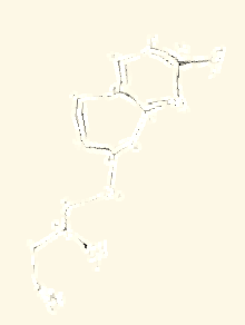 OC[C@H](O)COc1ccc2ccc(Cl)nc2c1